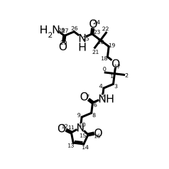 CC(C)(CCNC(=O)CCN1C(=O)C=CC1=O)OCCC(C)(C)C(=O)NCC(N)=O